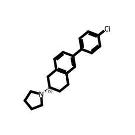 Clc1ccc(-c2ccc3c(c2)CC[C@H](N2CCCC2)C3)cc1